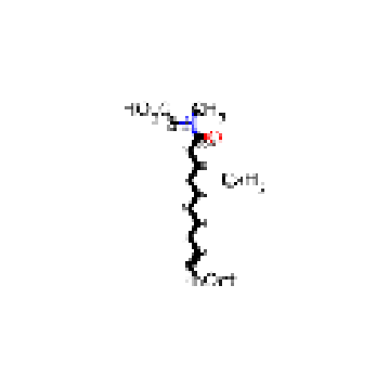 CCCCCCCCC=CCCCCCCCC(=O)N(C)CC(=O)O.[CaH2]